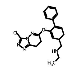 CCNCC1C=C(OC2=Nn3c(Cl)nnc3CC2)C(c2ccccc2)=CC1